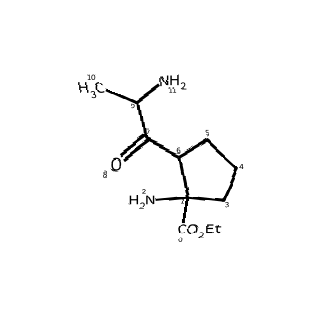 CCOC(=O)C1(N)CCCC1C(=O)C(C)N